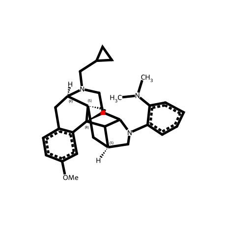 COc1ccc2c(c1)[C@]13CCN(CC4CC4)[C@H](C2)[C@]12CCC1C3[C@@H](CN1c1ccccc1N(C)C)C2